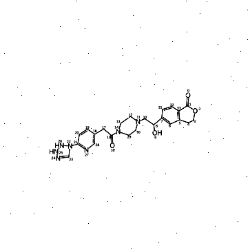 O=C1OCCc2cc(C(O)CN3CCN(C(=O)Cc4ccc(N5C=NNN5)nc4)CC3)ccc21